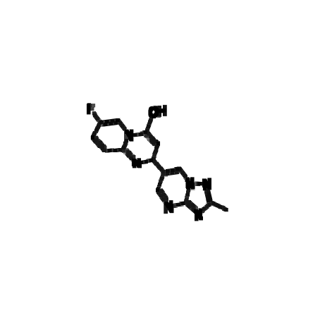 Cc1nc2ncc(C3C=C(O)N4C=C(F)C=CC4=N3)cn2n1